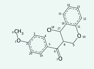 COc1ccc(C(=O)C2COc3ccccc3C2Cl)cc1